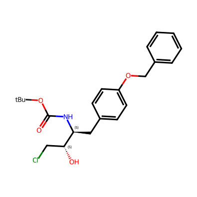 CC(C)(C)OC(=O)N[C@@H](Cc1ccc(OCc2ccccc2)cc1)[C@H](O)CCl